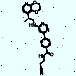 C[C@H](CNc1cc(-c2ccc(C(=O)NCCC#N)cc2)ncn1)c1ccnc2c1OCCO2